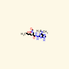 CCCCC[C@@H](CN(O)C=O)C(=O)NNc1nc(N(C)C)c2nc[nH]c2n1